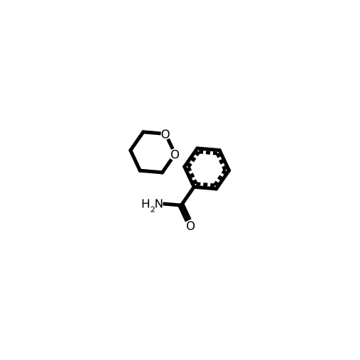 C1CCOOC1.NC(=O)c1ccccc1